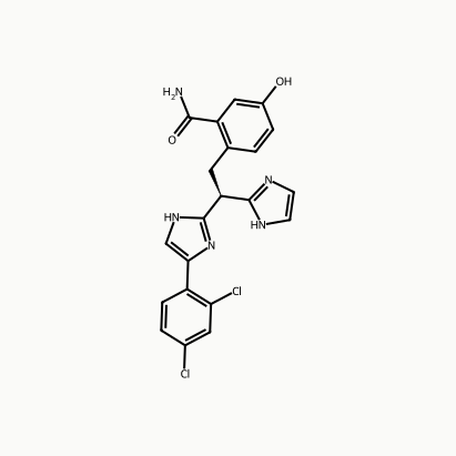 NC(=O)c1cc(O)ccc1C[C@@H](c1ncc[nH]1)c1nc(-c2ccc(Cl)cc2Cl)c[nH]1